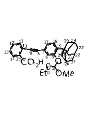 CCOC(OC)Oc1cc(C#Cc2ccccc2C(=O)O)ccc1C12CC3CC(CC(C3)C1)C2